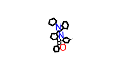 Cc1cc2c3c(c1)-n1c4c(cccc4c4c1c1ccccc1n4-c1ccccc1)B3c1ccccc1O2